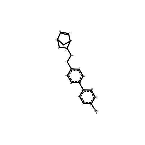 CCc1ccc(-c2ccc(CCC3CC4C=CC3C4)cc2)cc1